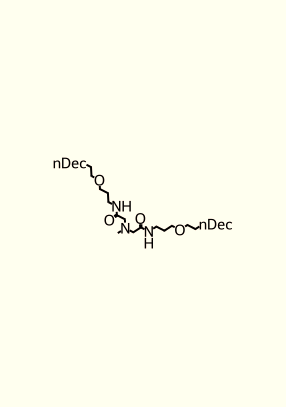 CCCCCCCCCCCCOCCCNC(=O)CN(C)CC(=O)NCCCOCCCCCCCCCCCC